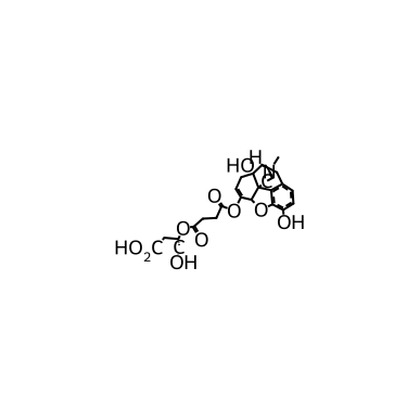 CN1CCC23c4c5ccc(O)c4OC2C(OC(=O)CCC(=O)O[C@H](CO)CC(=O)O)=CC[C@@]3(O)[C@H]1C5